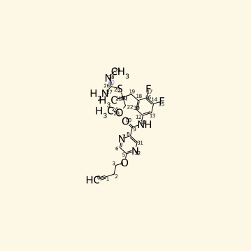 C#CCCOc1cnc(C(=O)Nc2cc(F)c(F)c(C[C@](C)(COC)S/C(N)=N\C)c2)cn1